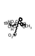 CC(C)(C)OC(=O)NCC(=O)OC(CCCCCCO[N+](=O)[O-])C(=C(C(=O)O)c1ccccc1)c1ccc(S(C)(=O)=O)cc1